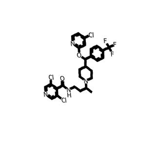 CC(CCNC(=O)c1c(Cl)cncc1Cl)N1CCC(C(Oc2cc(Cl)ccn2)c2ccc(C(F)(F)F)cc2)CC1